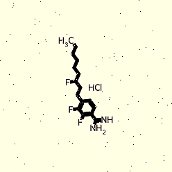 CCCCCCC(F)CCc1ccc(C(=N)N)c(F)c1F.Cl